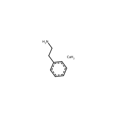 NCCc1ccccc1.[CaH2]